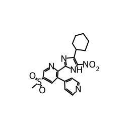 CS(=O)(=O)c1cnc(-c2nc(C3CCCCC3)c([N+](=O)[O-])[nH]2)c(-c2ccncc2)c1